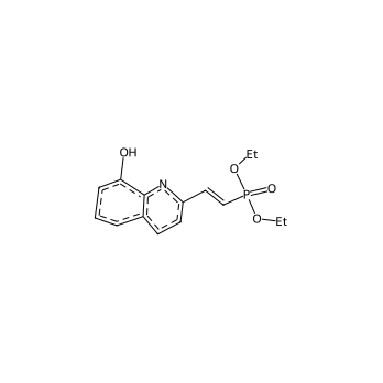 CCOP(=O)(/C=C/c1ccc2cccc(O)c2n1)OCC